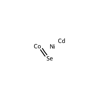 [Cd].[Co]=[Se].[Ni]